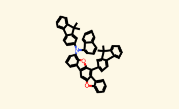 CC1(C)c2ccccc2-c2ccc(-c3c4oc5c(N(c6ccc7c(c6)C(C)(C)c6ccccc6-7)c6cccc7ccccc67)cccc5c4cc4oc5ccccc5c34)cc21